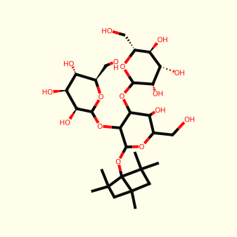 CC1(C)CC2(C)CC(C)(C)C12OC1OC(CO)C(O)C(OC2O[C@H](CO)[C@@H](O)[C@H](O)[C@@H]2O)C1OC1O[C@H](CO)[C@@H](O)[C@H](O)[C@@H]1O